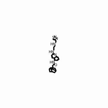 O=C(CC12CC3CC(CC(C3)C1)C2)Nc1cccc2nc(NCCCNCc3csnn3)ccc12